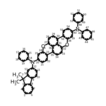 CC1(C)c2ccccc2-c2ccc(N(c3ccccc3)c3ccc4c(c3)Oc3ccc5c6c(ccc-4c36)Oc3cc(N(c4ccccc4)c4ccccc4)ccc3-5)cc21